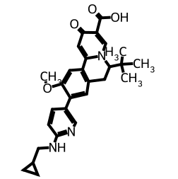 COc1cc2c(cc1-c1ccc(NCC3CC3)nc1)CC(C(C)(C)C)n1cc(C(=O)O)c(=O)cc1-2